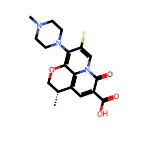 C[C@@H]1COc2c(N3CCN(C)CC3)c(F)cn3c(=O)c(C(=O)O)cc1c23